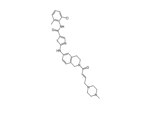 Cc1cccc(Cl)c1NC(=O)c1cnc(Nc2ccc3c(c2)CCN(C(=O)/C=C/CN2CCN(C)CC2)C3)s1